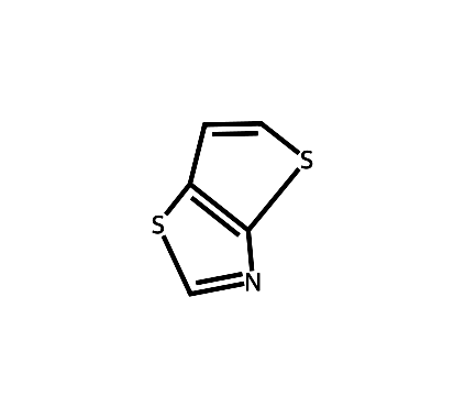 c1nc2sccc2s1